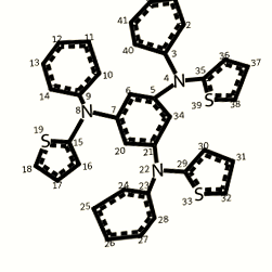 c1ccc(N(c2cc(N(c3ccccc3)c3cccs3)cc(N(c3ccccc3)c3cccs3)c2)c2cccs2)cc1